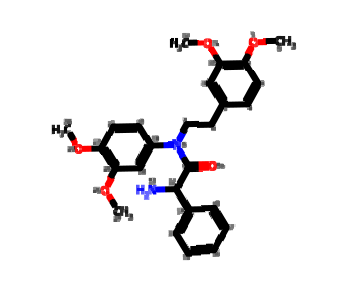 COc1ccc(CCN(C(=O)C(N)c2ccccc2)c2ccc(OC)c(OC)c2)cc1OC